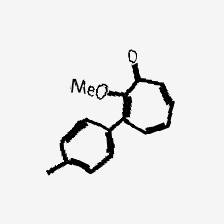 COc1c(-c2ccc(C)cc2)ccccc1=O